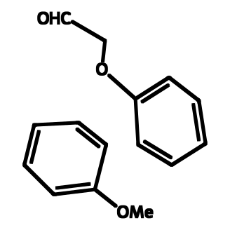 COc1ccccc1.O=CCOc1ccccc1